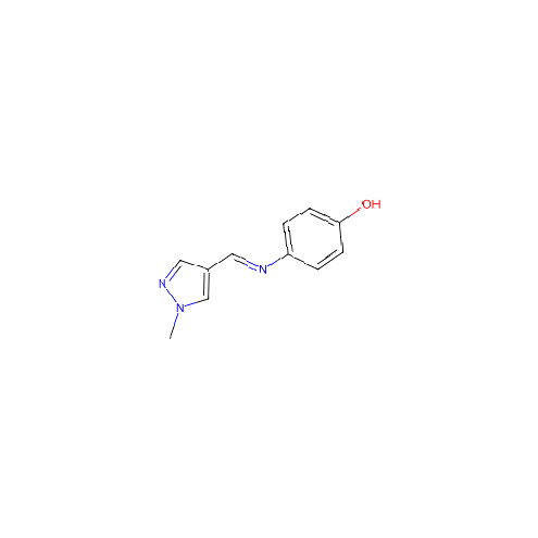 Cn1cc(/C=N/c2ccc(O)cc2)cn1